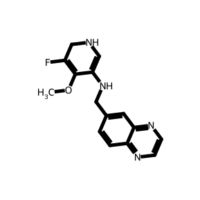 COC1=C(F)CNC=C1NCc1ccc2nccnc2c1